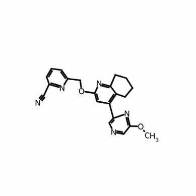 COc1cncc(-c2cc(OCc3cccc(C#N)n3)nc3c2CCCC3)n1